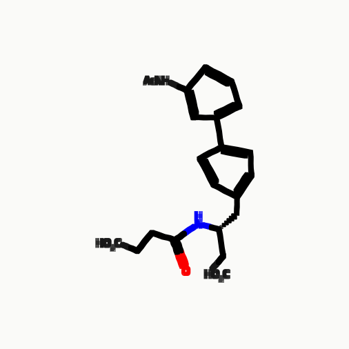 CC(=O)Nc1cccc(-c2ccc(C[C@H](CC(=O)O)NC(=O)CCC(=O)O)cc2)c1